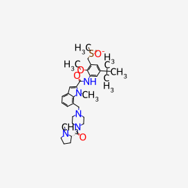 COc1c(C[S+](C)[O-])cc(C(C)(C)C)cc1NC(=O)c1cc2cccc(CN3CCN(C(=O)[C@@H]4CCCN4C)CC3)c2n1C